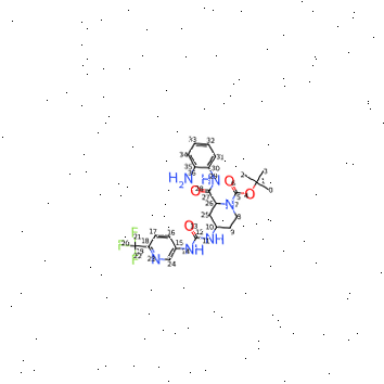 CC(C)(C)OC(=O)N1CCC(NC(=O)Nc2ccc(C(F)(F)F)nc2)CC1C(=O)Nc1ccccc1N